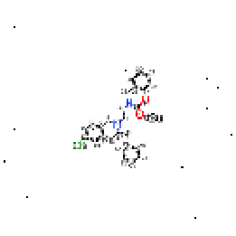 CC(C)(C)OC(=O)N(CCN1Cc2ccc(Cl)cc2CC1Cc1ccccc1)Cc1ccccc1